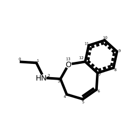 CCNC1CC=Cc2ccccc2O1